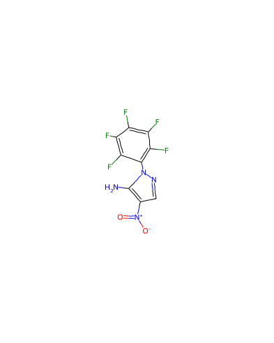 Nc1c([N+](=O)[O-])cnn1-c1c(F)c(F)c(F)c(F)c1F